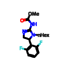 CCCCCCN1C(NC(=O)OC)=NCC1c1c(F)cccc1F